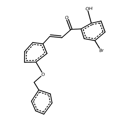 O=C(/C=C/c1cccc(OCc2ccccc2)c1)c1cc(Br)ccc1O